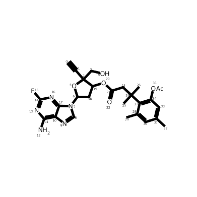 C#CC1(CO)OC(n2cnc3c(N)nc(F)nc32)CC1OC(=O)CC(C)(C)c1c(C)cc(C)cc1OC(C)=O